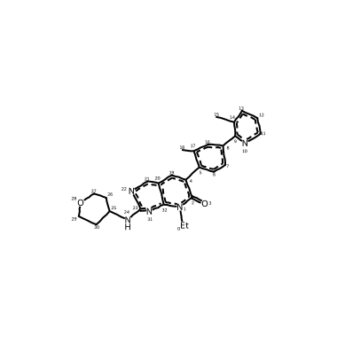 CCn1c(=O)c(-c2ccc(-c3ncccc3C)cc2C)cc2cnc(NC3CCOCC3)nc21